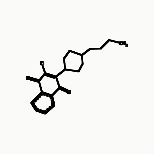 CCCCC1CCC(C2=C(Cl)C(=O)c3ccccc3C2=O)CC1